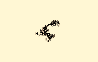 CCS(=O)(=O)Nc1ccc(-c2nn(C(C)(C)C)c(Nc3ccc(OCCCCC(=O)OC(C)(C)C)cn3)c2C#N)cc1